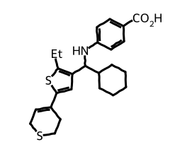 CCc1sc(C2=CCSCC2)cc1C(Nc1ccc(C(=O)O)cc1)C1CCCCC1